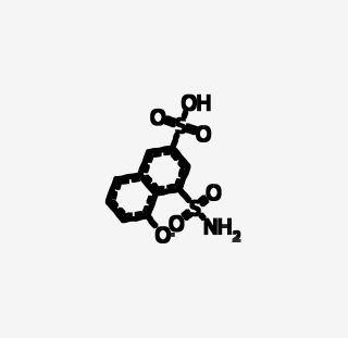 NS(=O)(=O)c1cc(S(=O)(=O)O)cc2cccc([O])c12